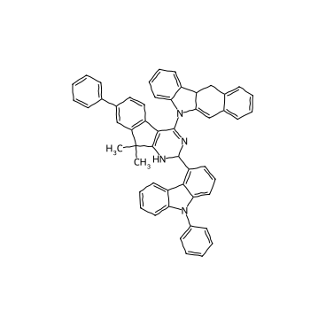 CC1(C)C2=C(C(N3C4=Cc5ccccc5CC4c4ccccc43)=NC(c3cccc4c3c3ccccc3n4-c3ccccc3)N2)c2ccc(-c3ccccc3)cc21